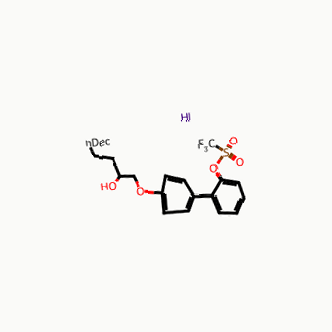 CCCCCCCCCCCCC(O)COc1ccc(-c2ccccc2OS(=O)(=O)C(F)(F)F)cc1.I